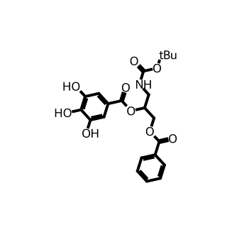 CC(C)(C)OC(=O)NCC(COC(=O)c1ccccc1)OC(=O)c1cc(O)c(O)c(O)c1